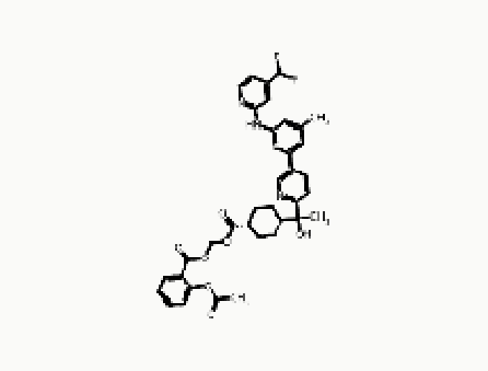 CC(=O)Oc1ccccc1C(=O)OCOC(=O)[C@H]1CC[C@H]([C@@](C)(O)c2ccc(-c3cc(C)cc(Nc4cc(C(F)F)ccn4)n3)cn2)CC1